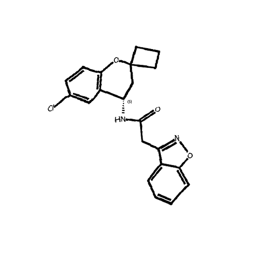 O=C(Cc1noc2ccccc12)N[C@H]1CC2(CCC2)Oc2ccc(Cl)cc21